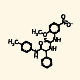 COc1ccc([N+](=O)[O-])cc1NC(=S)NC(C(=O)Nc1ccc(C)cc1)c1ccccc1